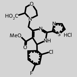 COC(=O)C1=C(CN2CCOCC2C(=O)O)N=C(c2nccs2)NC1c1ccc(F)cc1Cl.Cl